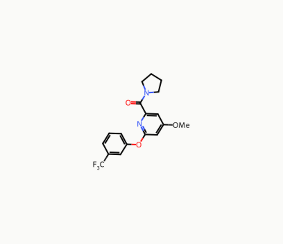 COc1cc(Oc2cccc(C(F)(F)F)c2)nc(C(=O)N2CCCC2)c1